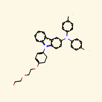 COc1ccc(N(c2ccc(OC)cc2)c2ccc3c(c2)c2ccccc2n3C2=CC=C(OCCOCCO)CC2)cc1